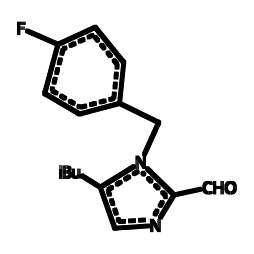 CCC(C)c1cnc(C=O)n1Cc1ccc(F)cc1